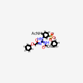 COC(=O)NC(=NC(=O)COc1ccccc1)Nc1cc(S(=O)(=O)Oc2ccccc2)ccc1NC(C)=O